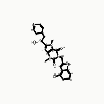 Cn1c([C@H](N)Cc2ccncc2)nc2c1c(=O)n(Cc1cc3c(Cl)cccc3[nH]1)c(=O)n2C